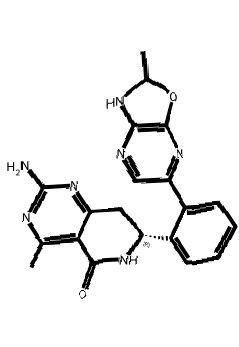 Cc1nc(N)nc2c1C(=O)N[C@@H](c1ccccc1-c1cnc3c(n1)OC(C)N3)C2